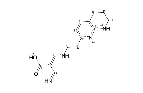 N=C/C(=C\NCCc1ccc2c(n1)NCCC2)C(=O)O